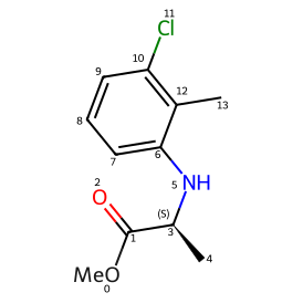 COC(=O)[C@H](C)Nc1cccc(Cl)c1C